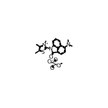 COS(=O)(=O)[O-].Cc1sc(N2C(=O)c3ccc(N(C)C)c4cccc2c34)[n+](C)c1C